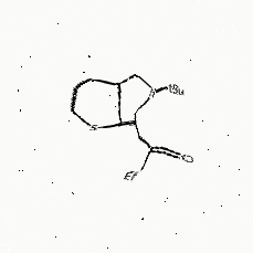 CCC(=O)C1C2SCCC2CN1C(C)(C)C